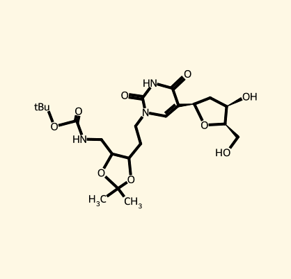 CC(C)(C)OC(=O)NCC1OC(C)(C)OC1CCn1cc([C@H]2C[C@@H](O)[C@@H](CO)O2)c(=O)[nH]c1=O